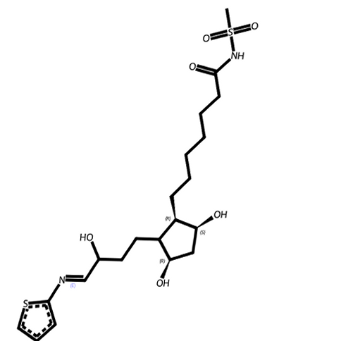 CS(=O)(=O)NC(=O)CCCCCC[C@@H]1C(CCC(O)/C=N/c2cccs2)[C@H](O)C[C@@H]1O